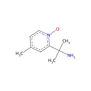 Cc1cc[n+]([O-])c(C(C)(C)N)c1